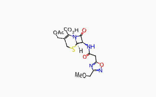 COCc1noc(CC(=O)N[C@@H]2C(=O)N3C(C(=O)O)=C(COC(C)=O)CS[C@H]23)n1